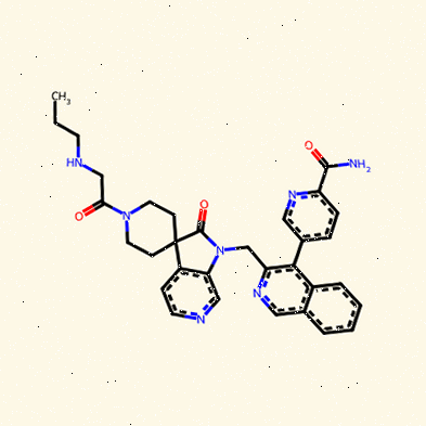 CCCNCC(=O)N1CCC2(CC1)C(=O)N(Cc1ncc3ccccc3c1-c1ccc(C(N)=O)nc1)c1cnccc12